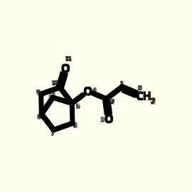 C=CC(=O)OC12CCC(CC1=O)C2